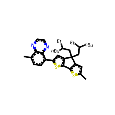 CCCCC(CC)CC1(CC(CC)CCCC)c2cc(C)sc2-c2sc(-c3ccc(C)c4nccnc34)cc21